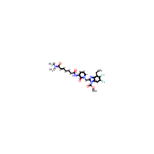 CC(C)Cc1c(F)c(F)cc2c1nc(Cn1cccc(NC(=O)CCC/C=C/C(=O)N(C)C)c1=O)n2C(=O)OC(C)(C)C